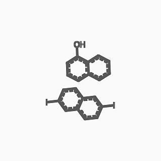 Ic1ccc2cc(I)ccc2c1.Oc1cccc2ccccc12